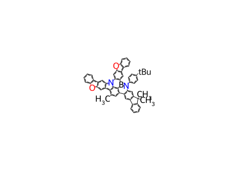 Cc1cc2c3c4c1c1cc5oc6ccccc6c5cc1n4-c1cc4oc5ccccc5c4cc1B3N(c1ccc(C(C)(C)C)cc1)c1cc3c(cc1-2)-c1ccccc1C3(C)C